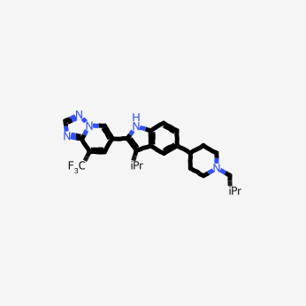 CC(C)CN1CCC(c2ccc3[nH]c(-c4cc(C(F)(F)F)c5ncnn5c4)c(C(C)C)c3c2)CC1